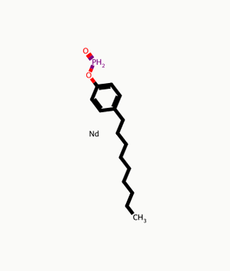 CCCCCCCCCc1ccc(O[PH2]=O)cc1.[Nd]